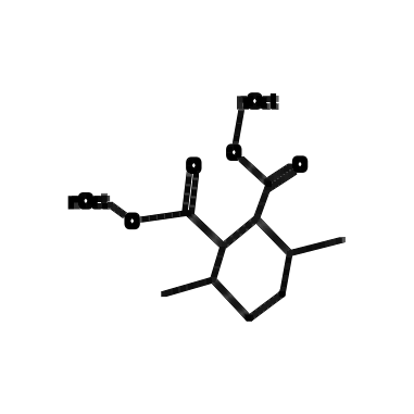 CCCCCCCCOC(=O)C1C(C)CCC(C)C1C(=O)OCCCCCCCC